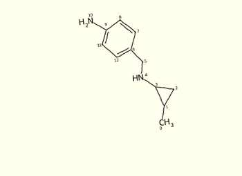 CC1CC1NCc1ccc(N)cc1